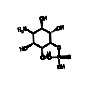 NC1[C@@H](O)[C@H](O)C(OP(=O)(O)O)[C@H](O)[C@H]1O